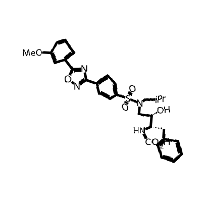 COc1cccc(-c2nc(-c3ccc(S(=O)(=O)N(CC(C)C)C[C@H](O)[C@H](Cc4ccccc4)NC(=O)O)cc3)no2)c1